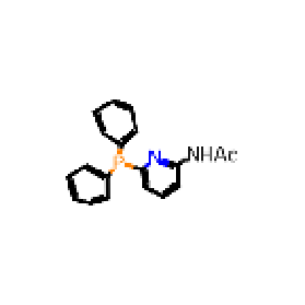 CC(=O)Nc1cccc(P(c2ccccc2)c2ccccc2)n1